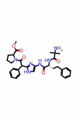 COC(=O)C1CCCN1C(=O)C(c1ccccc1)c1nc(NC(=O)[C@@H](CCc2ccccc2)NC(=O)C(C)(C)N)c[nH]1